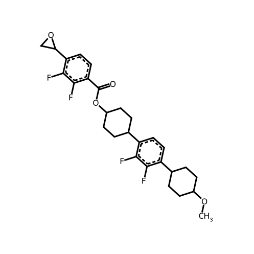 COC1CCC(c2ccc(C3CCC(OC(=O)c4ccc(C5CO5)c(F)c4F)CC3)c(F)c2F)CC1